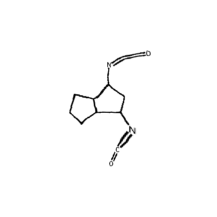 O=C=NC1CC(N=C=O)C2CCCC12